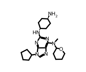 CN(c1nc(N[C@H]2CC[C@H](N)CC2)nc2c1ncn2C1CCCC1)C1CCCCO1